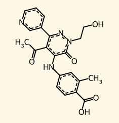 CC(=O)c1c(-c2cccnc2)nn(CCO)c(=O)c1Nc1ccc(C(=O)O)c(C)c1